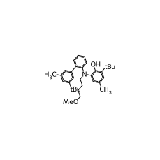 COCCCCN(c1ccccc1-c1cc(C)cc(C(C)(C)C)c1)c1cc(C)cc(C(C)(C)C)c1O